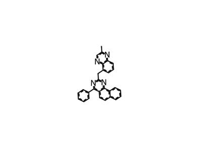 Cc1cnc2c(Cc3nc(-c4ccccc4)c4ccc5ccccc5c4n3)cccc2n1